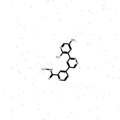 CNC(=O)c1cc(-c2cnnc(-c3cc(N)cnc3C)c2)ccn1